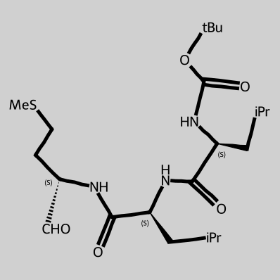 CSCC[C@@H](C=O)NC(=O)[C@H](CC(C)C)NC(=O)[C@H](CC(C)C)NC(=O)OC(C)(C)C